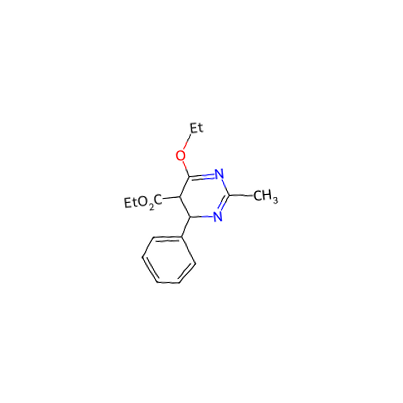 CCOC(=O)C1C(OCC)=NC(C)=NC1c1ccccc1